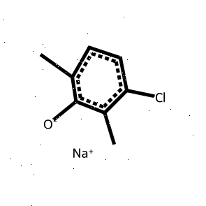 Cc1ccc(Cl)c(C)c1[O-].[Na+]